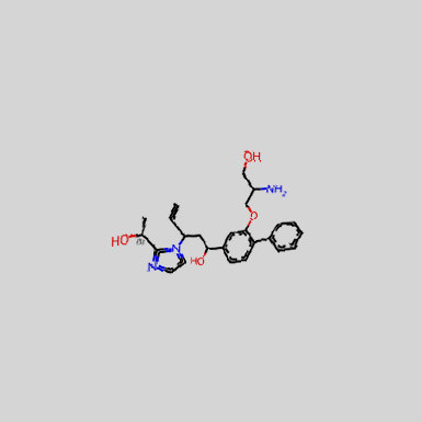 C=CC(CC(O)c1ccc(-c2ccccc2)c(OCC(N)CO)c1)n1ccnc1[C@H](C)O